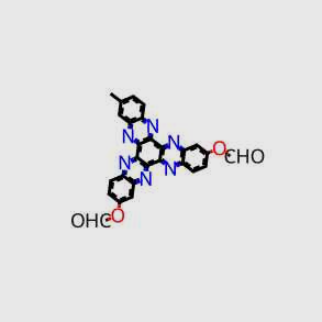 Cc1ccc2nc3c(nc2c1)c1nc2ccc(OC=O)cc2nc1c1nc2ccc(OC=O)cc2nc31